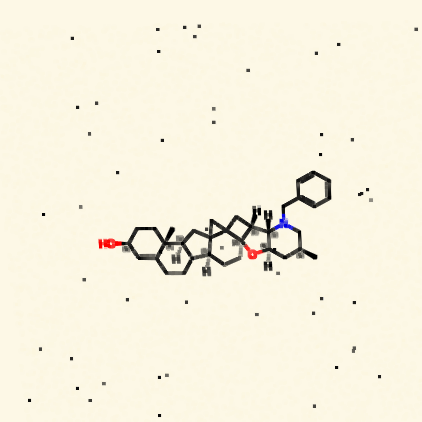 C[C@H]1C[C@H]2O[C@@]34CC[C@H]5C6CCC7=C[C@@H](O)CC[C@]7(C)[C@H]6CC56CC63C[C@@H]4[C@@H]2N(Cc2ccccc2)C1